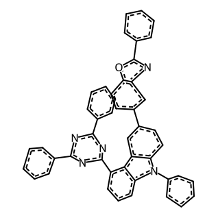 c1ccc(-c2nc(-c3ccccc3)nc(-c3cccc4c3c3cc(-c5ccc6oc(-c7ccccc7)nc6c5)ccc3n4-c3ccccc3)n2)cc1